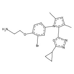 Cc1[c]c(C)n(-c2ccc(OCCN)c(Br)c2)c1-c1nnc(C2CC2)o1